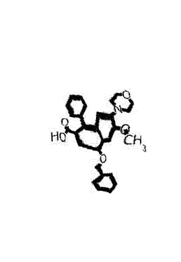 COc1cc2c(OCc3ccccc3)cc(C(=O)O)c(-c3ccccc3)c2cc1N1CCOCC1